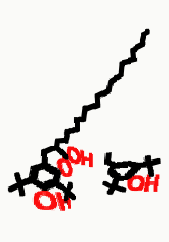 CCCCCCCCCCCCCCCCCCC(Cc1cc(C(C)(C)C)c(O)c(C(C)(C)C)c1)C(=O)O.CCc1cc(C(C)(C)C)c(O)c(C(C)(C)C)c1